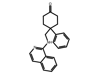 O=C1CCC(CNc2nccc3ccccc23)(c2ccccc2)CC1